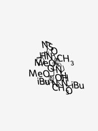 CCC(C)C(=O)NCC(O)N(C)[C@@H]([C@@H](C)CC)[C@@H](CC(=O)N1CCC[C@H]1[C@H](OC)[C@@H](C)C(=O)N[C@@H](Cc1ccccc1)c1nccs1)OC